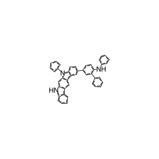 c1ccc(Nc2ccc(-c3ccc4c(c3)c3cc5c(cc3n4-c3ccccc3)[nH]c3ccccc35)cc2-c2ccccc2)cc1